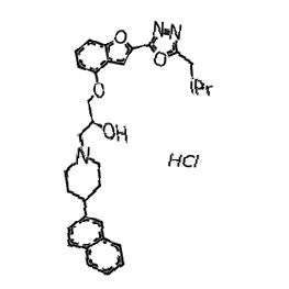 CC(C)Cc1nnc(-c2cc3c(OC[C@@H](O)CN4CCC(c5ccc6ccccc6c5)CC4)cccc3o2)o1.Cl